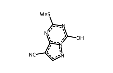 CSc1nc(O)n2ncc(C#N)c2n1